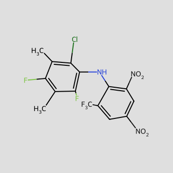 Cc1c(F)c(C)c(Cl)c(Nc2c([N+](=O)[O-])cc([N+](=O)[O-])cc2C(F)(F)F)c1F